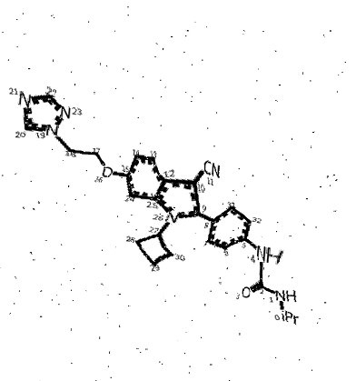 CC(C)NC(=O)Nc1ccc(-c2c(C#N)c3ccc(OCCn4cncn4)cc3n2C2CCC2)cc1